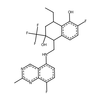 CCC1CC(O)(C(F)(F)F)C(CNc2ccc(F)c3nc(C)ncc23)c2ccc(F)c(O)c21